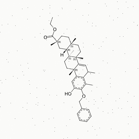 CCOC(=O)[C@]1(C)CC[C@]2(C)CC[C@]3(C)C4=CC(C)c5c(cc(O)c(OCc6ccccc6)c5C)[C@]4(C)CC[C@@]3(C)[C@@H]2C1